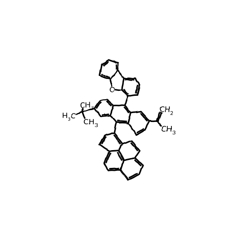 C=C(C)c1ccc2c(-c3ccc4ccc5cccc6ccc3c4c56)c3cc(C(C)(C)C)ccc3c(-c3cccc4c3oc3ccccc34)c2c1